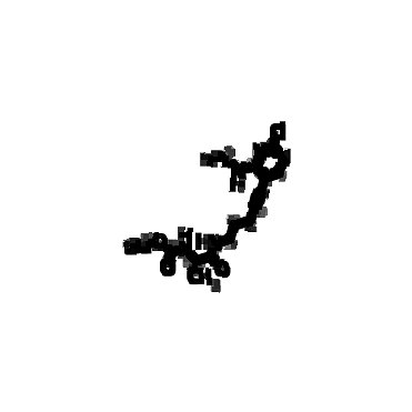 CCCNc1nc(Cl)ncc1C#CCCCNC(=O)[C@H](C)NC(=O)OC(C)(C)C